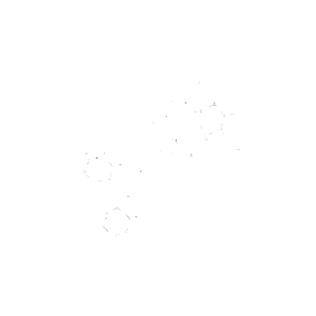 CC(=O)O[C@@H](CN1CC[C@@H](CCOC(c2ccccc2)c2ccccc2)[C@H](O)C1)c1ccc(F)cc1